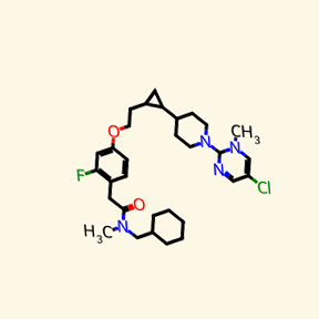 CN(CC1CCCCC1)C(=O)Cc1ccc(OCCC2CC2C2CCN(C3N=CC(Cl)=CN3C)CC2)cc1F